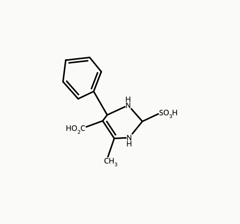 CC1=C(C(=O)O)C(c2ccccc2)NC(S(=O)(=O)O)N1